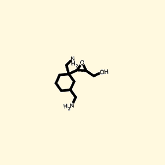 NCC1CCCC(CN)(C2OC2CO)C1